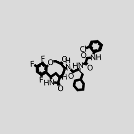 O=C(Nc1ccccc1Cl)C(=O)N[C@@H](CC1CCCCC1)C(=O)N[C@H]1C[C@@H]2CC(NC2=O)c2c(F)cc(F)c(F)c2OCC1=O